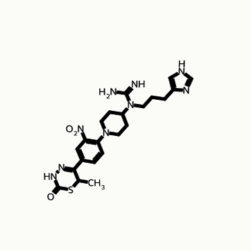 CC1SC(=O)NN=C1c1ccc(N2CCC(N(CCCc3c[nH]cn3)C(=N)N)CC2)c([N+](=O)[O-])c1